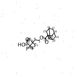 O=C(OCCC(F)(F)C(F)(F)S(=O)O)C12CC3CC(CC(C3)C1)C2